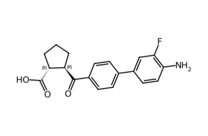 Nc1ccc(-c2ccc(C(=O)[C@@H]3CCC[C@H]3C(=O)O)cc2)cc1F